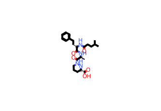 CC(C)CCC(=O)N[C@@H](CCc1ccccc1)C(=O)N[C@@H](C)C(=O)N1CCC[C@@H](C(=O)O)N1